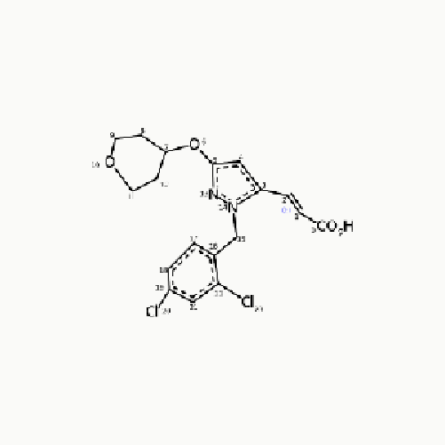 O=C(O)/C=C/c1cc(OC2CCOCC2)nn1Cc1ccc(Cl)cc1Cl